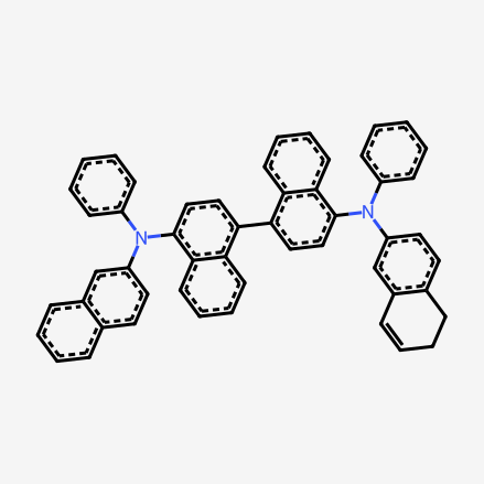 C1=Cc2cc(N(c3ccccc3)c3ccc(-c4ccc(N(c5ccccc5)c5ccc6ccccc6c5)c5ccccc45)c4ccccc34)ccc2CC1